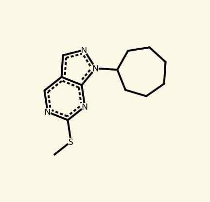 CSc1ncc2cnn(C3CCCCCC3)c2n1